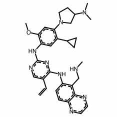 C=Cc1cnc(Nc2cc(C3CC3)c(N3CCC(N(C)C)C3)cc2OC)nc1Nc1ccc2nccnc2c1CNC